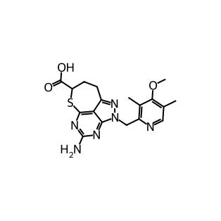 COc1c(C)cnc(Cn2nc3c4c(nc(N)nc42)SC(C(=O)O)CC3)c1C